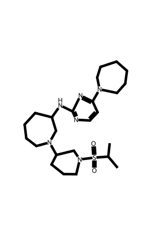 CC(C)S(=O)(=O)N1CCCC(N2CCCCC(Nc3nccc(N4CCCCCC4)n3)C2)C1